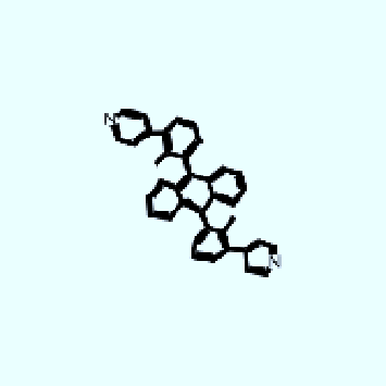 Cc1c(-c2ccncc2)cccc1-c1c2ccccc2c(-c2cccc(-c3ccncc3)c2C)c2ccccc12